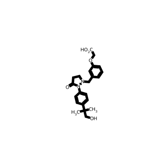 CC(C)(CO)c1ccc(N2C(=O)CCN2Cc2cccc(OCC(=O)O)c2)cc1